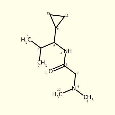 CC(C)C(NC(=O)CN(C)C)C1CC1